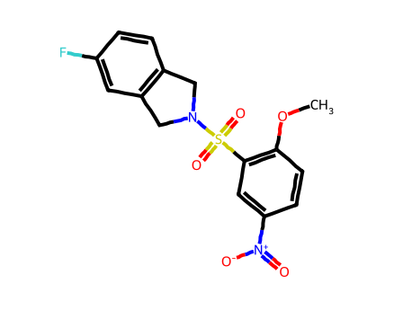 COc1ccc([N+](=O)[O-])cc1S(=O)(=O)N1Cc2ccc(F)cc2C1